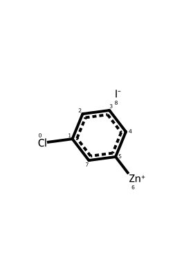 Clc1ccc[c]([Zn+])c1.[I-]